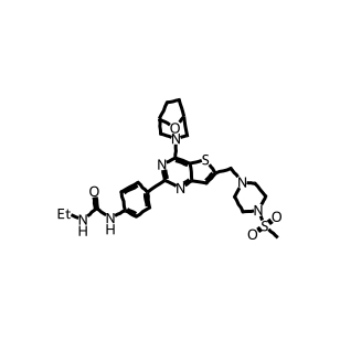 CCNC(=O)Nc1ccc(-c2nc(N3CC4CCC(C3)O4)c3sc(CN4CCN(S(C)(=O)=O)CC4)cc3n2)cc1